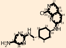 Nc1cnc(NC[C@H]2CC[C@H](Nc3ccc4ccnc(Cl)c4n3)CC2)nc1